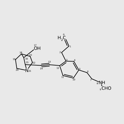 C=CCc1cc(CCNC=O)ccc1C#CC1C(O)C2CCN1CC2